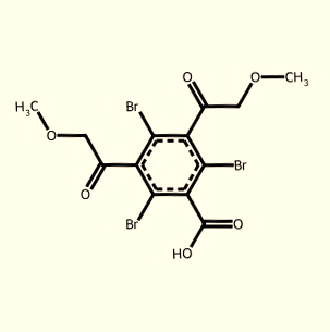 COCC(=O)c1c(Br)c(C(=O)O)c(Br)c(C(=O)COC)c1Br